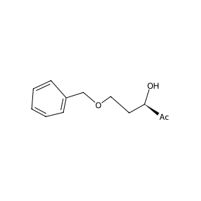 CC(=O)[C@H](O)CCOCc1ccccc1